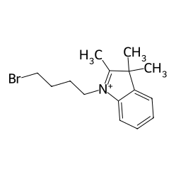 CC1=[N+](CCCCBr)c2ccccc2C1(C)C